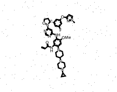 C=CC(=O)Nc1cc(Nc2cc(N3OCC[C@@H]3c3cc(F)cc(Oc4ccn(C)n4)c3)ncn2)c(OC)cc1N1CCC(N2CCN(C3CC3)CC2)CC1